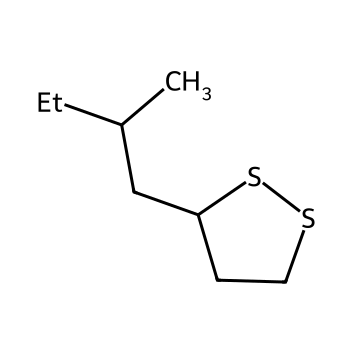 CCC(C)CC1CCSS1